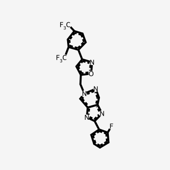 Fc1ccccc1-c1nc2cnn(Cc3cc(-c4ccc(C(F)(F)F)cc4C(F)(F)F)no3)cc-2n1